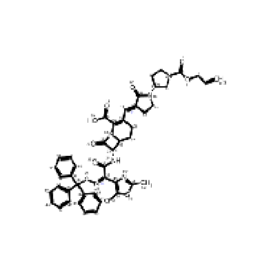 C=CCOC(=O)N1CC[C@@H](N2CC/C(=C\C3=C(C(=O)O)N4C(=O)[C@@H](NC(=O)/C(=N\OC(c5ccccc5)(c5ccccc5)c5ccccc5)c5nc(C)sc5Cl)C4CC3)C2=O)C1